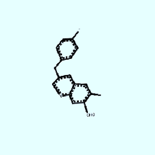 Cc1cc2cc(Cc3ccc(F)cc3)cnc2cc1C=O